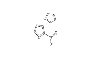 O=[N+]([O-])c1ccco1.c1ccoc1